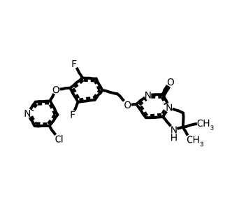 CC1(C)Cn2c(cc(OCc3cc(F)c(Oc4cncc(Cl)c4)c(F)c3)nc2=O)N1